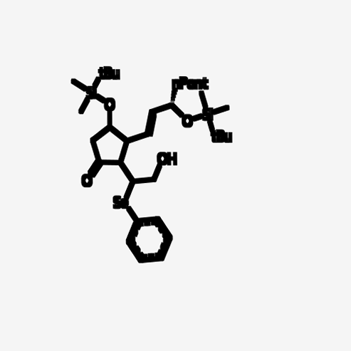 CCCCC[C@@H](C=CC1C(O[Si](C)(C)C(C)(C)C)CC(=O)C1C(CO)[Se]c1ccccc1)O[Si](C)(C)C(C)(C)C